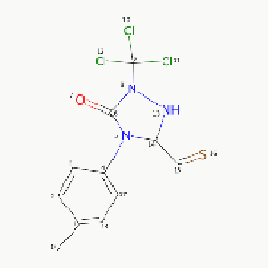 Cc1ccc(N2C(=O)N(C(Cl)(Cl)Cl)NC2C=S)cc1